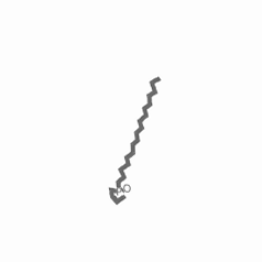 CCCCCCCCCCCCCCCCCCP1(=O)CC=CC1